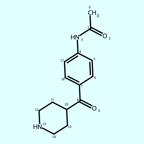 CC(=O)Nc1ccc(C(=O)C2CCNCC2)cc1